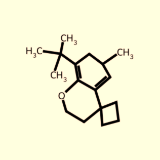 CC1C=C2C(=C(C(C)(C)C)C1)OCCC21CCC1